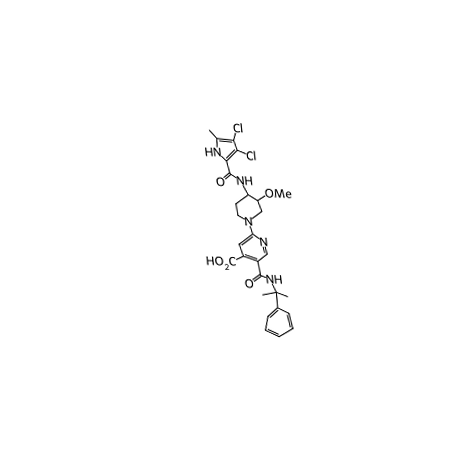 COC1CN(c2cc(C(=O)O)c(C(=O)NC(C)(C)c3ccccc3)cn2)CCC1NC(=O)c1[nH]c(C)c(Cl)c1Cl